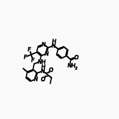 CCS(=O)(=O)Nc1nccc(C)c1CNc1nc(Nc2ccc(C(N)=O)cc2)ncc1C(F)(F)F